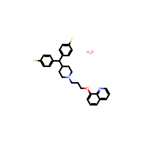 Fc1ccc(C(c2ccc(F)cc2)C2CCN(CCCOc3cccc4cccnc34)CC2)cc1.O